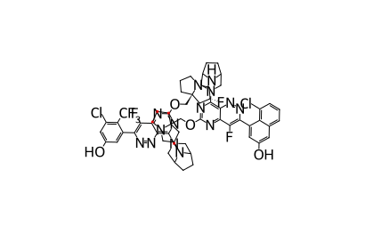 Oc1cc(Cl)c(C(F)(F)F)c(-c2nnc3c(N4CC5CCC(C4)N5C4CN5CCCC5(COc5nc(N6CC7CCC(C6)N7)c6nnc(-c7cc(O)cc8cccc(Cl)c78)c(F)c6n5)C4)nc(OC[C@@]45CCCN4C[C@H](F)C5)nc3c2F)c1